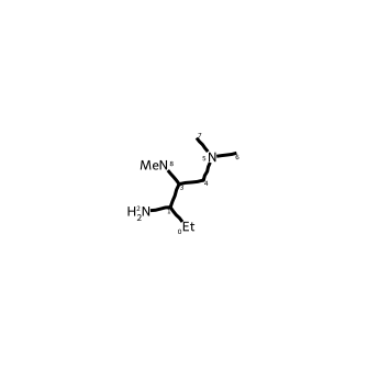 CCC(N)C(CN(C)C)NC